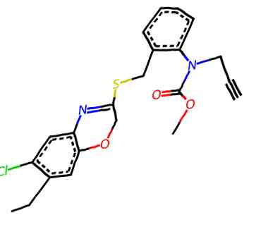 C#CCN(C(=O)OC)c1ccccc1CSC1=Nc2cc(Cl)c(CC)cc2OC1